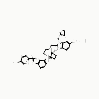 C[C@]1(c2ccc(Cl)cn2)Oc2cccc(N3CCN(Cc4nc5ccc(C(=O)O)cc5n4C[C@@H]4CCO4)[C@@H]4CC[C@@H]43)c2O1